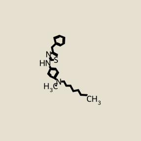 CCCCCCCCN(C)c1ccc(Nc2nc(Cc3ccccc3)cs2)cc1